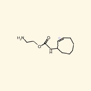 NCCOC(=O)NC1/C=C\CCCCC1